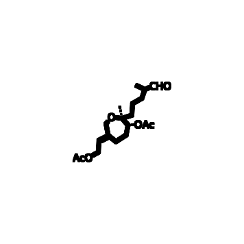 CC(=O)OC/C=C1\CC[C@@H](OC(C)=O)[C@](C)(CCCC(C)C=O)OC1